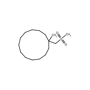 CC1(CS(C)(=O)=O)CCCCCCCCCCCC1